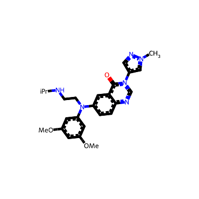 COc1cc(OC)cc(N(CCNC(C)C)c2ccc3ncn(-c4cnn(C)c4)c(=O)c3c2)c1